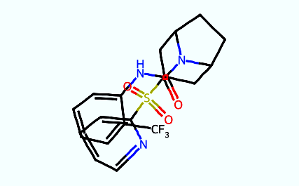 O=C(Nc1ccccc1C(F)(F)F)N1C2CCC1CC(S(=O)(=O)c1ccccn1)C2